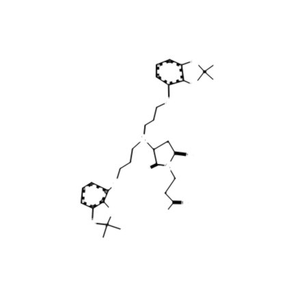 CC1(C)Oc2cccc(OCCCN(CCCOc3cccc4c3OC(C)(C)O4)C3CC(=O)N(CCC(=O)O)C3=O)c2O1